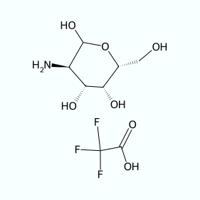 N[C@H]1C(O)O[C@H](CO)[C@H](O)[C@@H]1O.O=C(O)C(F)(F)F